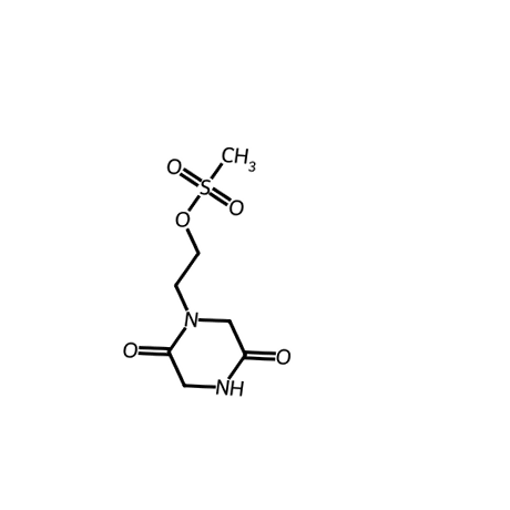 CS(=O)(=O)OCCN1CC(=O)NCC1=O